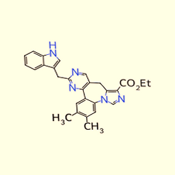 CCOC(=O)c1ncn2c1Cc1cnc(Cc3c[nH]c4ccccc34)nc1-c1cc(C)c(C)cc1-2